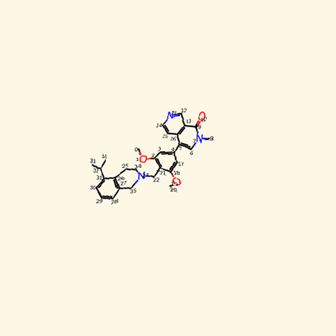 COc1cc(-c2cn(C)c(=O)c3cnccc23)cc(OC)c1CN1CCc2c(cccc2C(C)C)C1